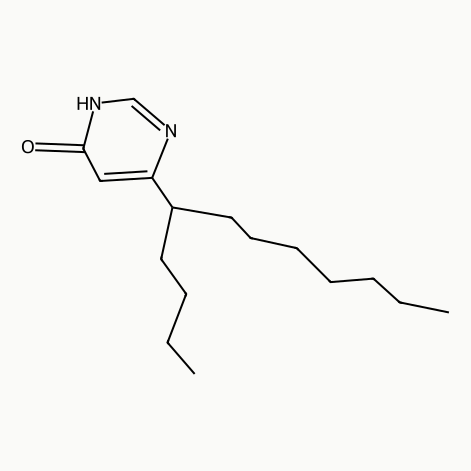 CCCCCCCC(CCCC)c1cc(=O)[nH]cn1